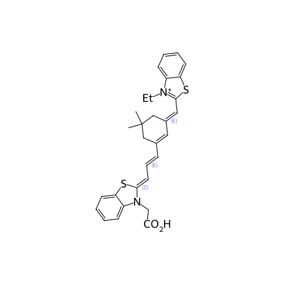 CC[n+]1c(/C=C2C=C(/C=C/C=C3\Sc4ccccc4N3CC(=O)O)CC(C)(C)C/2)sc2ccccc21